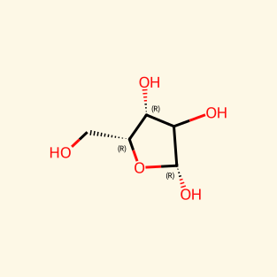 OC[C@H]1O[C@@H](O)C(O)[C@H]1O